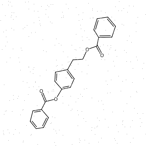 O=C(OCCc1ccc(OC(=O)c2ccccc2)cc1)c1ccccc1